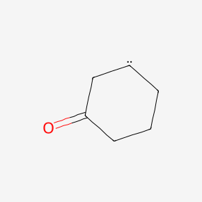 O=C1C[C]CCC1